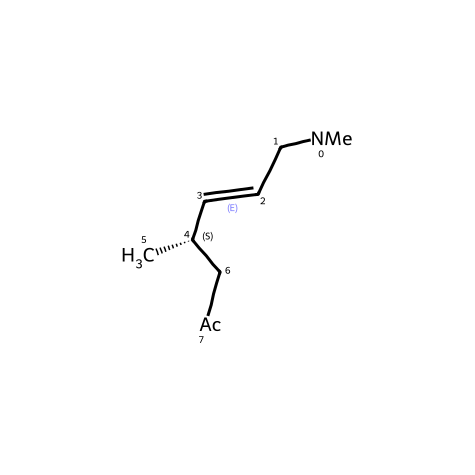 CNC/C=C/[C@@H](C)CC(C)=O